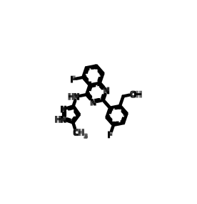 Cc1cc(Nc2nc(-c3cc(F)ccc3CO)nc3cccc(F)c23)n[nH]1